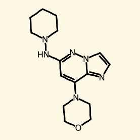 c1cn2nc(NN3CCCCC3)cc(N3CCOCC3)c2n1